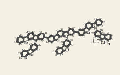 CC1(C)c2ccccc2-c2cc(-n3c4ccccc4c4ccc5c6cc(-c7ccc8c9ccc%10c%11cc(-c%12ccc%13c%14ccc%15c%16ccccc%16sc%15c%14n(-c%14ccc%15sc%16ccccc%16c%15c%14)c%13c%12)ccc%11sc%10c9n(-c9ccc%10oc%11ccccc%11c%10c9)c8c7)ccc6sc5c43)ccc21